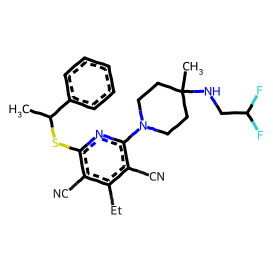 CCc1c(C#N)c(SC(C)c2ccccc2)nc(N2CCC(C)(NCC(F)F)CC2)c1C#N